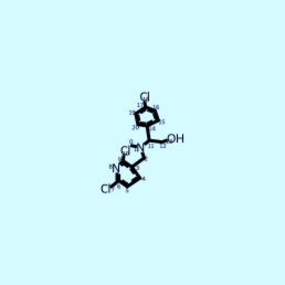 CN(Cc1ccc(Cl)nc1Cl)C(CO)c1ccc(Cl)cc1